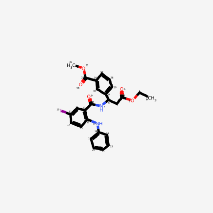 CCOC(=O)CC(NC(=O)c1cc(I)ccc1Nc1ccccc1)c1cccc(C(=O)OC)c1